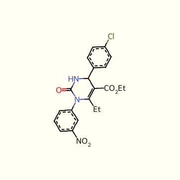 CCOC(=O)C1=C(CC)N(c2cccc([N+](=O)[O-])c2)C(=O)NC1c1ccc(Cl)cc1